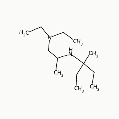 CCN(CC)CC(C)NC(C)(CC)CC